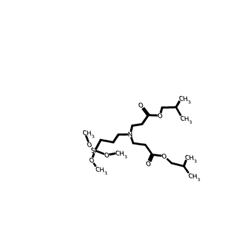 CO[Si](CCCN(CCC(=O)OCC(C)C)CCC(=O)OCC(C)C)(OC)OC